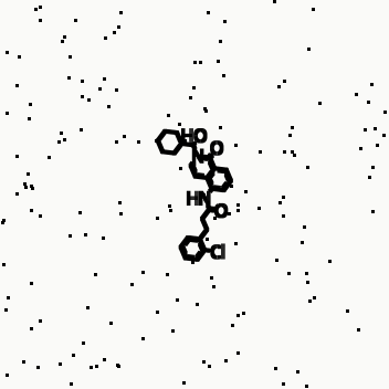 O=C(CCc1ccccc1Cl)Nc1cccc2c(=O)n(C(O)C3CCCCC3)ccc12